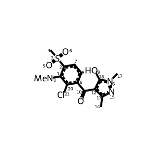 CNc1c(S(C)(=O)=O)ccc(C(=O)c2c(C)nn(C)c2O)c1Cl